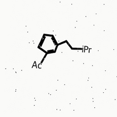 CC(=O)c1cccc(CCC(C)C)c1